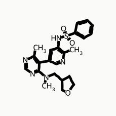 Cc1ncc(-c2c(C)ncnc2N(C)CC2CCOC2)cc1NS(=O)(=O)c1ccccc1